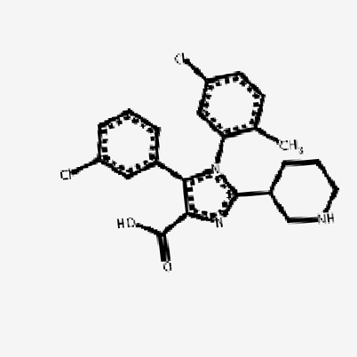 Cc1ccc(Cl)cc1-n1c(C2CCCNC2)nc(C(=O)O)c1-c1cccc(Cl)c1